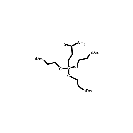 CCCCCCCCCCCCO[Si](CCC(C)S)(OCCCCCCCCCCCC)OCCCCCCCCCCCC